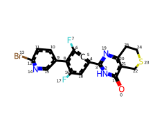 O=c1[nH]c(-c2cc(F)c(-c3ccc(Br)nc3)c(F)c2)nc2c1CSCC2